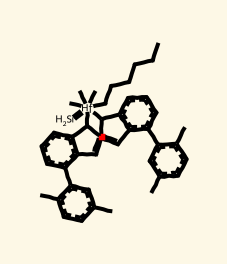 CCCCC[CH2][Hf]([CH3])([CH3])([CH3])(=[SiH2])([CH]1C=Cc2c(-c3cc(C)ccc3C)cccc21)[CH]1C=Cc2c(-c3cc(C)ccc3C)cccc21